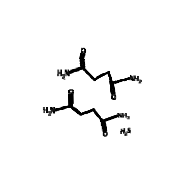 NC(=O)CCC(N)=O.NC(=O)CCC(N)=O.S